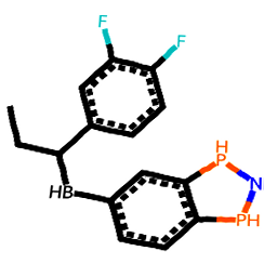 CCC(Bc1ccc2c(c1)PNP2)c1ccc(F)c(F)c1